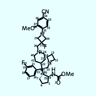 COC(=O)N[C@H]1CCC[C@@H]1[C@](CN1CCC1)(c1cccc(F)c1)C1CCN(CC2(F)CN(c3ccc(C#N)cc3OC)C2)CC1